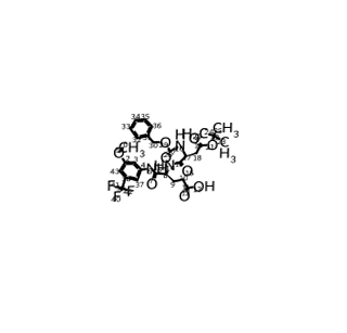 COc1cc(NC(=O)[C@H](CCC(=O)O)NC(=O)[C@H](CC(=O)OC(C)(C)C)NC(=O)OCc2ccccc2)cc(C(F)(F)F)c1